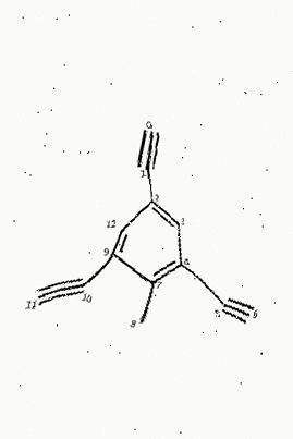 C#Cc1cc(C#C)c(C)c(C#C)c1